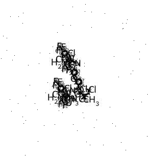 CC1(C)C(C=C(Cl)Cl)C1C(=O)OC(C#N)c1cccc(Oc2ccccc2)c1.N#Cc1nn(-c2c(Cl)cc(C(F)(F)F)cc2Cl)c(N)c1[S+]([O-])C(F)(F)F.N#Cc1nn(-c2c(Cl)cc(C(F)(F)F)cc2Cl)c(N)c1[S+]([O-])C(F)(F)F